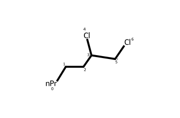 CCCCCC(Cl)[CH]Cl